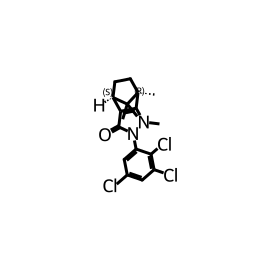 Cn1c2c(c(=O)n1-c1cc(Cl)cc(Cl)c1Cl)[C@H]1CC[C@]2(C)C1(C)C